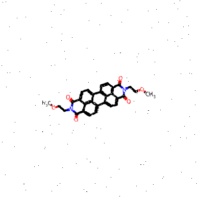 COCCN1C(=O)c2ccc3c4ccc5c6c(ccc(c7ccc(c2c37)C1=O)c64)C(=O)N(CCOC)C5=O